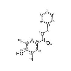 O=C(OCc1ccccc1)c1cc(I)c(O)c(I)c1